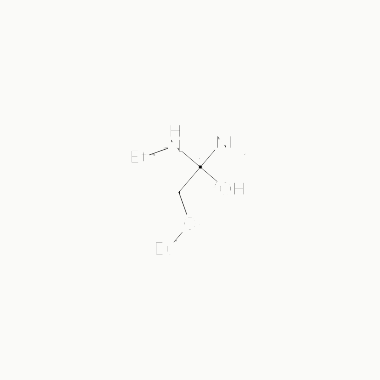 CCNC(N)(O)COCC